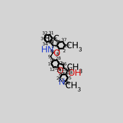 Cc1ccc(C(NC(=O)Cc2ccc3oc(C(C)(O)c4ccnc(C)c4)cc3c2)c2ccccc2)c(C)c1